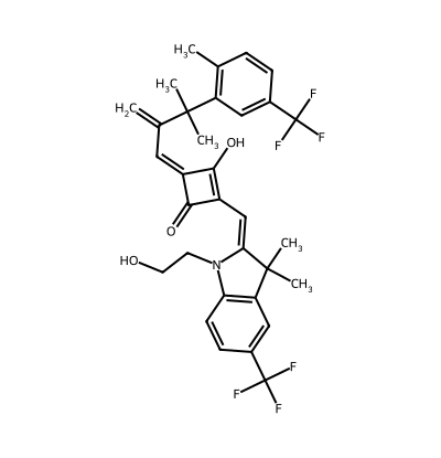 C=C(/C=C1/C(=O)C(/C=C2\N(CCO)c3ccc(C(F)(F)F)cc3C2(C)C)=C1O)C(C)(C)c1cc(C(F)(F)F)ccc1C